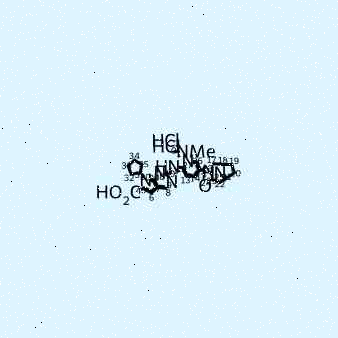 CNC.Cl.Cl.O=C(O)c1cc2cnc(Nc3ccc(N4CC5CCC(CC4=O)N5)cn3)nc2n1C1CCCC1